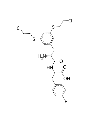 N[C@@H](Cc1cc(SCCCl)cc(SCCCl)c1)C(=O)NC(Cc1ccc(F)cc1)C(=O)O